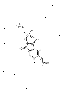 C=CCS(=O)(=O)ON1C(=O)c2ccc(NCCCCC)cc2C1=O